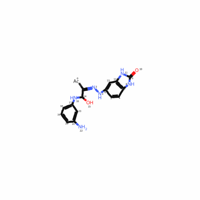 CC(=O)/C(=N/Nc1ccc2[nH]c(=O)[nH]c2c1)C(O)Nc1cccc(N)c1